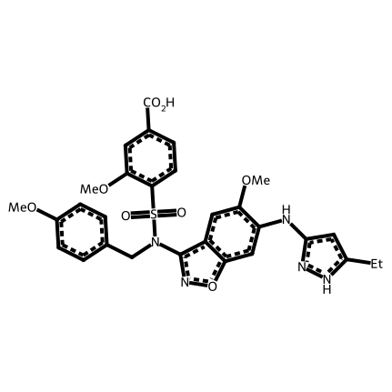 CCc1cc(Nc2cc3onc(N(Cc4ccc(OC)cc4)S(=O)(=O)c4ccc(C(=O)O)cc4OC)c3cc2OC)n[nH]1